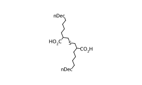 CCCCCCCCCCCCCCC(CSCC(CCCCCCCCCCCCCC)C(=O)O)C(=O)O